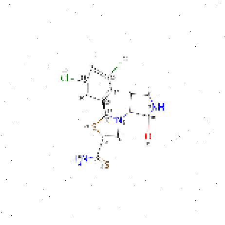 NC(=S)C1=CN(C2CCNC2=O)[C@H](c2cc(F)cc(Cl)c2)S1